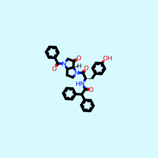 O=C(N[C@@H](Cc1ccc(O)cc1)C(=O)N1CCC2[C@H]1C(=O)CN2C(=O)c1ccccc1)C(c1ccccc1)c1ccccc1